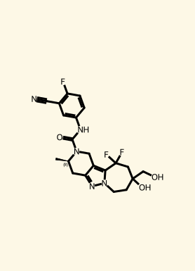 C[C@@H]1Cc2nn3c(c2CN1C(=O)Nc1ccc(F)c(C#N)c1)C(F)(F)CC(O)(CO)CC3